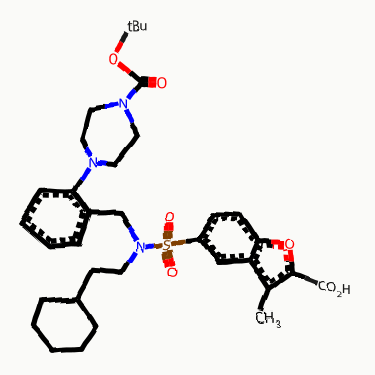 Cc1c(C(=O)O)oc2ccc(S(=O)(=O)N(CCC3CCCCC3)Cc3ccccc3N3CCN(C(=O)OC(C)(C)C)CC3)cc12